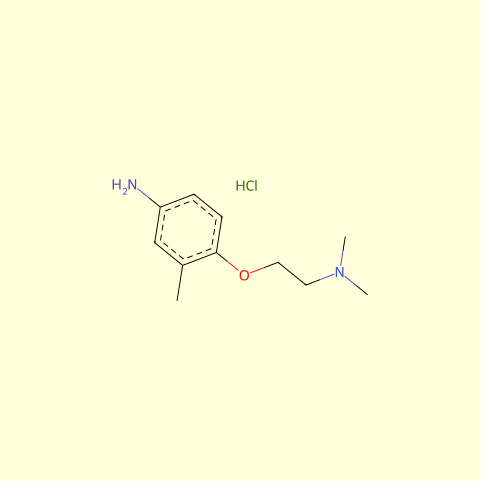 Cc1cc(N)ccc1OCCN(C)C.Cl